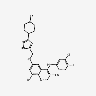 CCN1CCC(c2cc(CNc3cc(Br)c4ncc(C#N)c(Nc5ccc(F)c(Cl)c5)c4c3)[nH]n2)CC1